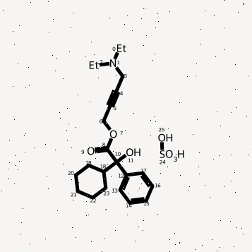 CCN(CC)CC#CCOC(=O)C(O)(c1ccccc1)C1CCCCC1.O=S(=O)(O)O